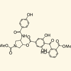 COC(=O)c1cccc(O)c1C(=O)c1c(O)cc(C(=O)OC2CN(C(=O)OC)CC2NC(=O)c2ccc(O)cc2)cc1O